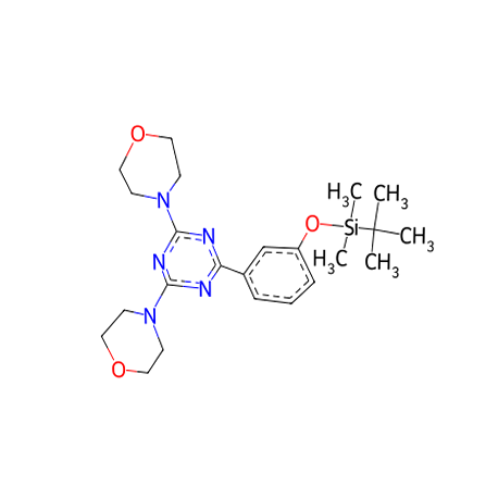 CC(C)(C)[Si](C)(C)Oc1cccc(-c2nc(N3CCOCC3)nc(N3CCOCC3)n2)c1